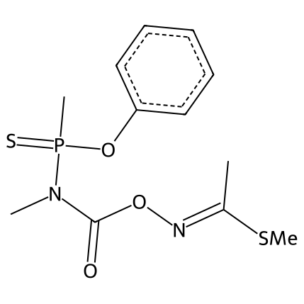 CSC(C)=NOC(=O)N(C)P(C)(=S)Oc1ccccc1